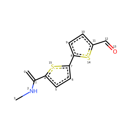 C=C(NC)c1ccc(-c2ccc(C=O)s2)s1